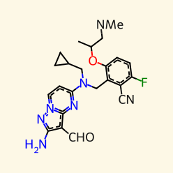 CNCC(C)Oc1ccc(F)c(C#N)c1CN(CC1CC1)c1ccn2nc(N)c(C=O)c2n1